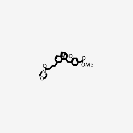 COC(=O)c1ccc(Cc2cccc3ccc(CCCC(=O)N4CCOCC4)cc23)c(OC)c1